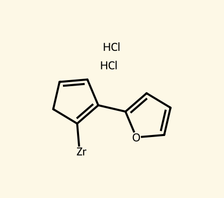 Cl.Cl.[Zr][C]1=C(c2ccco2)C=CC1